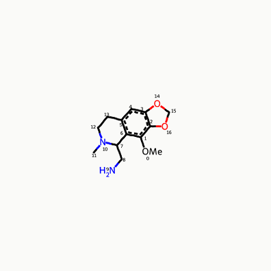 COc1c2c(cc3c1C(CN)N(C)CC3)OCO2